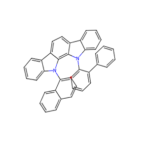 c1ccc(-c2ccccc2-n2c3ccccc3c3ccc4c5ccccc5n(-c5cccc6ccccc56)c4c32)cc1